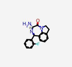 N[C@H]1N=C(c2ccccc2F)c2cccc3c2N(CC3)C1=O